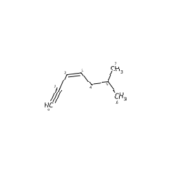 C#C/C=C\CC(C)C